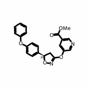 COC(=O)c1cncc(OC2=NO[C@@H](c3ccc(Oc4ccccc4)cc3)C2)c1